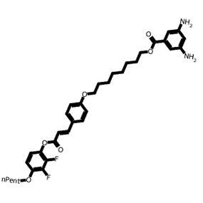 CCCCCOc1ccc(OC(=O)C=Cc2ccc(OCCCCCCCCOC(=O)c3cc(N)cc(N)c3)cc2)c(F)c1F